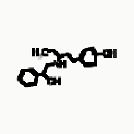 CCC(CCc1ccc(O)cc1)NCC(O)c1ccccc1